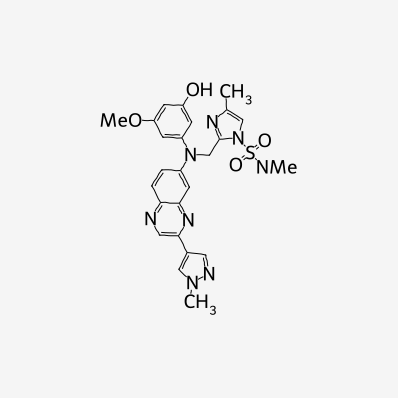 CNS(=O)(=O)n1cc(C)nc1CN(c1cc(O)cc(OC)c1)c1ccc2ncc(-c3cnn(C)c3)nc2c1